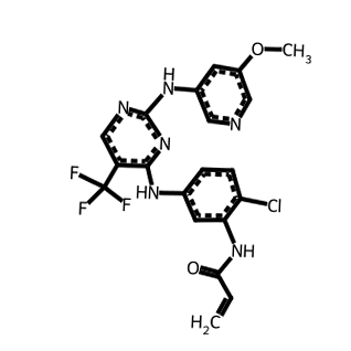 C=CC(=O)Nc1cc(Nc2nc(Nc3cncc(OC)c3)ncc2C(F)(F)F)ccc1Cl